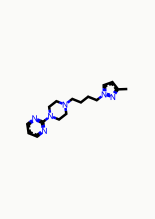 Cc1ccn(CCCCN2CCN(c3ncccn3)CC2)n1